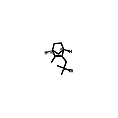 CC[Si](C)(C)CC1=C(C)[C@H]2CC[C@H]1C2